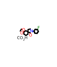 O=C(O)C1CC2(CC3(CCN(c4cccc(F)c4)C3=O)C1)OCCO2